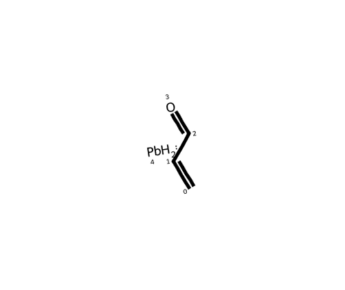 C=CC=O.[PbH2]